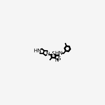 Cc1cccc(CNc2snc3c(C)c(N4CC5CNCC5C4)sc23)c1